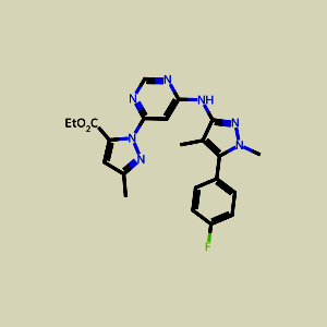 CCOC(=O)c1cc(C)nn1-c1cc(Nc2nn(C)c(-c3ccc(F)cc3)c2C)ncn1